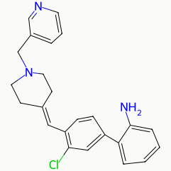 Nc1ccccc1-c1ccc(C=C2CCN(Cc3cccnc3)CC2)c(Cl)c1